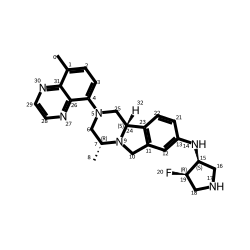 Cc1ccc(N2C[C@@H](C)N3Cc4cc(N[C@H]5CNC[C@H]5F)ccc4[C@H]3C2)c2nccnc12